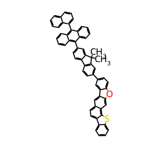 CC1(C)c2cc(-c3ccc4oc5cc6c(ccc7c8ccccc8sc67)cc5c4c3)ccc2-c2ccc(-c3c4ccccc4c(-c4cccc5ccccc45)c4ccccc34)cc21